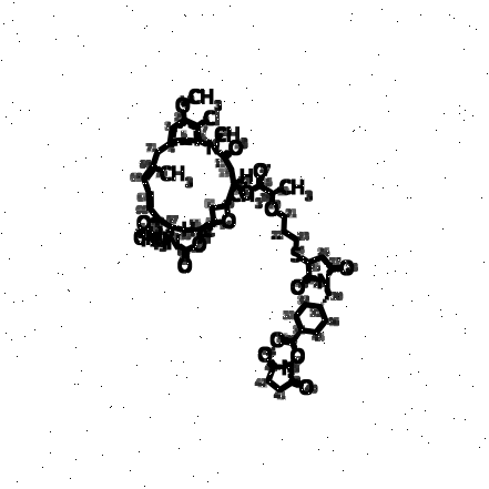 COc1cc2cc(c1Cl)N(C)C(=O)C[C@H](OC(=O)[C@@H](C)OCCCSC1CC(=O)N(C[C@H]3CC[C@H](C(=O)ON4C(=O)CCC4=O)CC3)C1=O)[C@@]1(C)CC(C)(O1)[C@@H]1C[C@@](O)(NC(=O)O1)[C@H](OC)/C=C/C=C(\C)C2